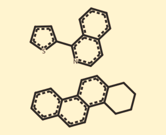 c1ccc2c(c1)ccc1c3c(ccc12)CCCC3.c1csc(-c2nccc3ccccc23)c1